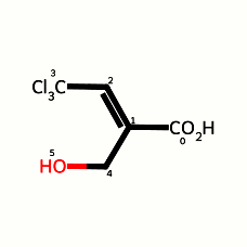 O=C(O)C(=CC(Cl)(Cl)Cl)CO